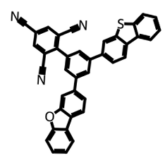 N#Cc1cc(C#N)c(-c2cc(-c3ccc4c(c3)oc3ccccc34)cc(-c3ccc4c(c3)sc3ccccc34)c2)c(C#N)c1